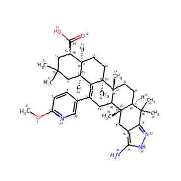 COc1ccc(C2=C3[C@H]4CC(C)(C)C[C@@H](C(=O)O)[C@H]4CC[C@@]3(C)[C@]3(C)CC[C@H]4C(C)(C)c5n[nH]c(N)c5C[C@]4(C)C3C2)cn1